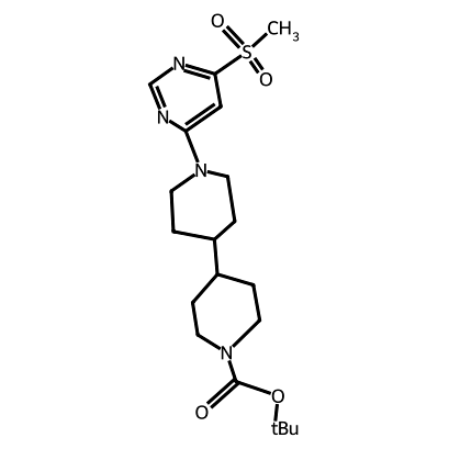 CC(C)(C)OC(=O)N1CCC(C2CCN(c3cc(S(C)(=O)=O)ncn3)CC2)CC1